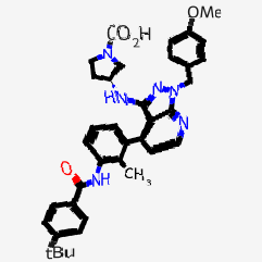 COc1ccc(Cn2nc(N[C@@H]3CCN(C(=O)O)C3)c3c(-c4cccc(NC(=O)c5ccc(C(C)(C)C)cc5)c4C)ccnc32)cc1